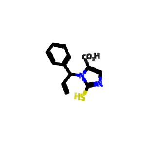 C=CC(c1ccccc1)n1c(C(=O)O)cnc1S